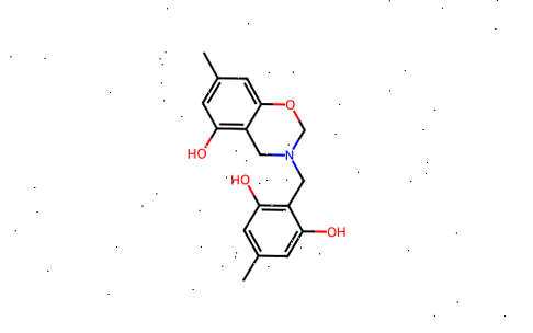 Cc1cc(O)c(CN2COc3cc(C)cc(O)c3C2)c(O)c1